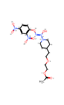 CC(=O)OCCOCCC1CCN(/[N+](O)=N/Oc2ccc([N+](=O)[O-])cc2[N+](=O)[O-])CC1